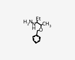 CCC(NN)C(C)OCc1ccccc1